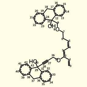 C=C/C(=C\C=C/CCOCC1(O)c2ccccc2Cc2ccccc21)OCC#CC1(O)c2ccccc2Cc2ccccc21